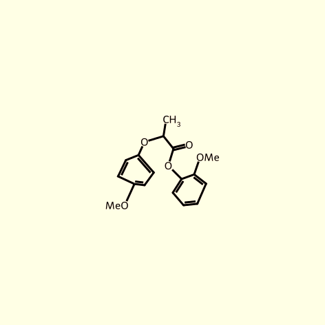 COc1ccc(OC(C)C(=O)Oc2ccccc2OC)cc1